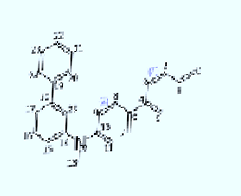 C=C/C=C\C(=C)C(=C)/C=C\C(=C)N(C)c1cccc(-c2ccccc2)c1